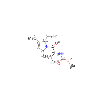 C=C1C=C(OC)[C@H](CC(C)C)N1C(=O)C(CC(C)C)NC(=O)OC(C)(C)C